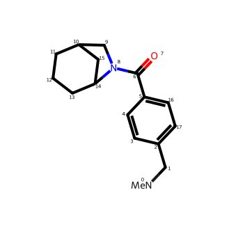 CNCc1ccc(C(=O)N2CC3CCCC2C3)cc1